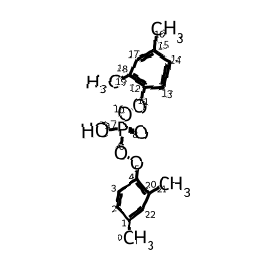 Cc1ccc(OOP(=O)(O)OOc2ccc(C)cc2C)c(C)c1